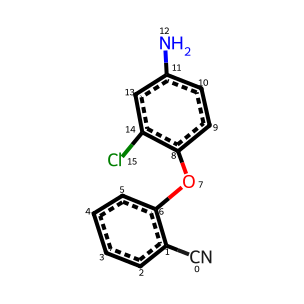 N#Cc1ccccc1Oc1ccc(N)cc1Cl